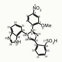 COc1cc([N+](=O)[O-])ccc1-[n+]1nc(-c2ccccc2S(=O)(=O)O)nn1-c1cccc2nc[nH]c12